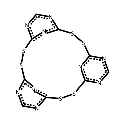 c1nc2nc(n1)SSc1ncnc(n1)SSc1ncnc(n1)SS2